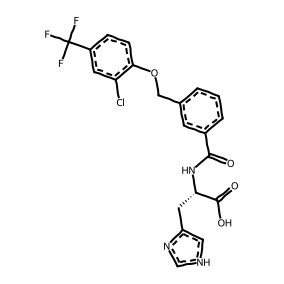 O=C(N[C@@H](Cc1c[nH]cn1)C(=O)O)c1cccc(COc2ccc(C(F)(F)F)cc2Cl)c1